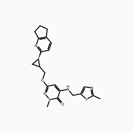 Cc1ncc(CNc2cc(OCC3C[C@H]3c3ccc4c(n3)CCC4)nn(C)c2=O)s1